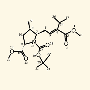 COC(=O)/C(=C/C[C@@H]1[C@H](C)C[C@@H](C(=O)OC)N1C(=O)OC(C)(C)C)C(C)C